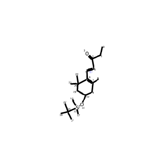 CCC(=O)/C=C/C1=C(C)CC(O[Si](C)(C)C(C)(C)C)CC1(C)C